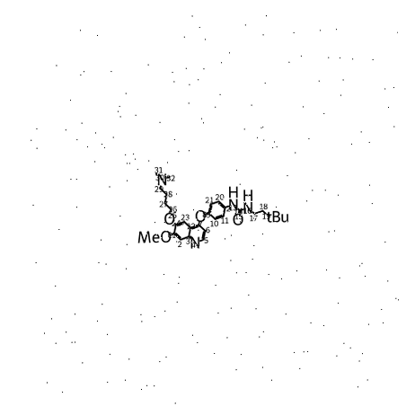 COc1cc2nccc(Oc3ccc(NC(=O)NCCC(C)(C)C)cc3)c2cc1OCCCCN(C)C